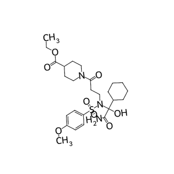 CCOC(=O)C1CCN(C(=O)CCN(C(O)(C(N)=O)C2CCCCC2)S(=O)(=O)c2ccc(OC)cc2)CC1